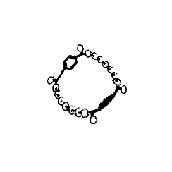 O=C1OCCOCCOC(=O)c2ccc(cc2)C(=O)OCCOCCOC(=O)c2ccc1cc2